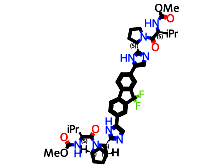 COC(=O)N[C@H](C(=O)N1CCC[C@H]1c1ncc(-c2ccc3c(c2)C(F)(F)c2cc(-c4cnc([C@@H]5[C@H]6CC[C@H](C6)N5C(=O)[C@@H](NC(=O)OC)C(C)C)[nH]4)ccc2-3)[nH]1)C(C)C